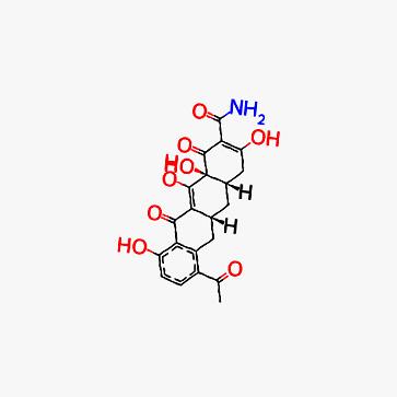 CC(=O)c1ccc(O)c2c1C[C@H]1C[C@H]3CC(O)=C(C(N)=O)C(=O)[C@@]3(O)C(O)=C1C2=O